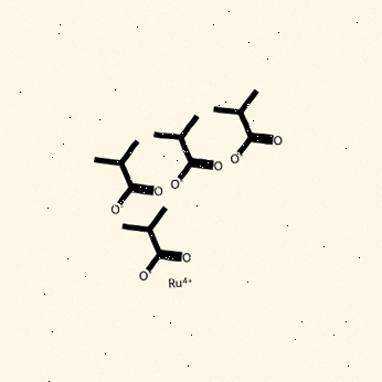 CC(C)C(=O)[O-].CC(C)C(=O)[O-].CC(C)C(=O)[O-].CC(C)C(=O)[O-].[Ru+4]